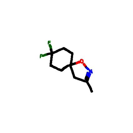 CC1=NOC2(CCC(F)(F)CC2)C1